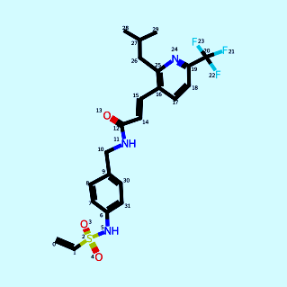 C=CS(=O)(=O)Nc1ccc(CNC(=O)C=Cc2ccc(C(F)(F)F)nc2CC(C)C)cc1